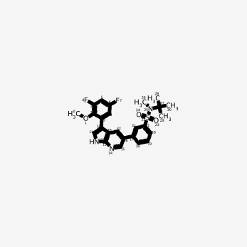 COc1c(F)cc(F)cc1-c1c[nH]c2ncc(-c3cccc(S(=O)(=O)N(C)C(C)(C)C)c3)cc12